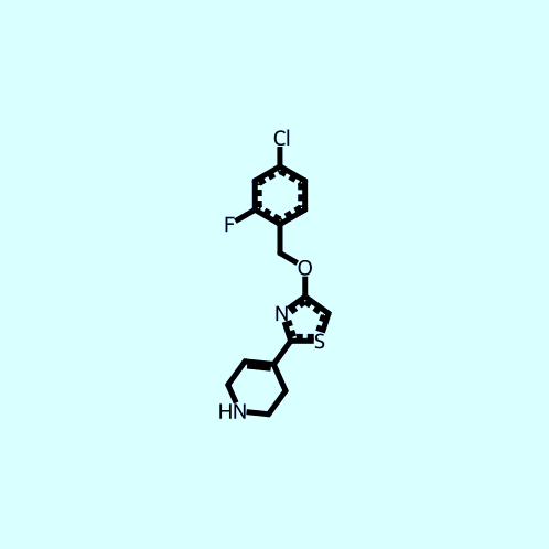 Fc1cc(Cl)ccc1COc1csc(C2=CCNCC2)n1